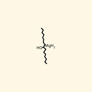 CCCCCCCCC(O)CCCCCCC.[MgH2]